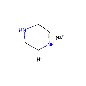 C1CNCCN1.[H-].[Na+]